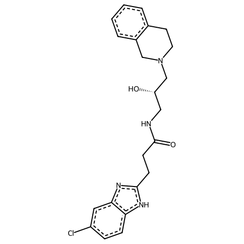 O=C(CCc1nc2cc(Cl)ccc2[nH]1)NC[C@H](O)CN1CCc2ccccc2C1